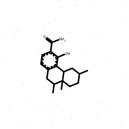 CC1CCC2(C)C(C)Cc3ccc(C(N)=O)c(O)c3C2C1